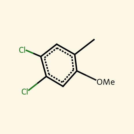 COc1cc(Cl)c(Cl)cc1C